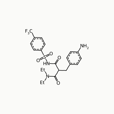 CCN(CC)C(=O)C(Cc1ccc(N)cc1)C(=O)NS(=O)(=O)c1ccc(C(F)(F)F)cc1